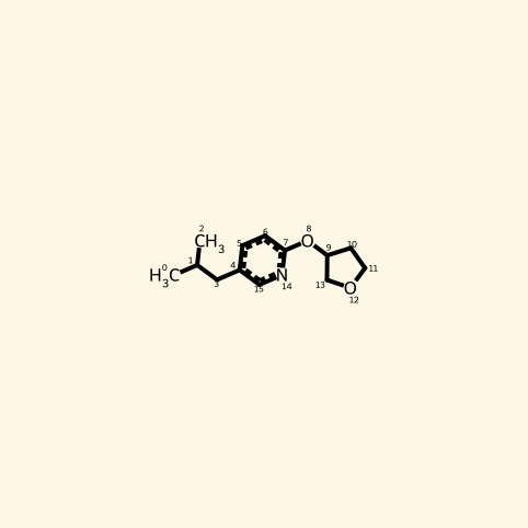 CC(C)Cc1ccc(OC2CCOC2)nc1